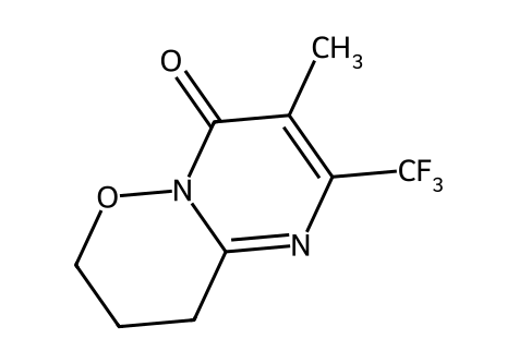 Cc1c(C(F)(F)F)nc2n(c1=O)OCCC2